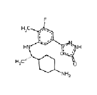 Cc1c(F)cc(-c2n[nH]c(=O)o2)cc1N[C@@H](C)C1CCC(N)CC1